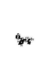 CNC(=O)[C@@H](NC(=O)c1nn(-c2c[n+](C)ccn2)c2c1C[C@H]1C[C@@H]21)C(C)(C)C